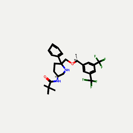 C[C@@H](OCC1(c2ccccc2)CC[C@H](NC(=O)C(C)(C)C)CN1)c1cc(C(F)(F)F)cc(C(F)(F)F)c1